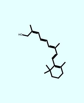 CC(C=CC1=C(C)CCCC1(C)C)=CC=CC=C(C)CO